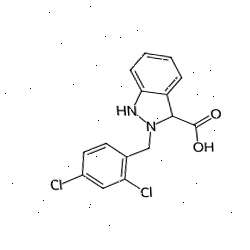 O=C(O)C1c2ccccc2NN1Cc1ccc(Cl)cc1Cl